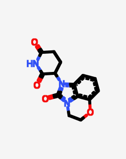 O=C1CCC(n2c(=O)n3c4c(cccc42)OCC3)C(=O)N1